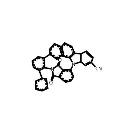 N#CC1=CC2C(C=C1)c1ccccc1N2c1cccc2c1C(=O)N(c1c(-c3ccccc3)cccc1-c1ccccc1)C2=O